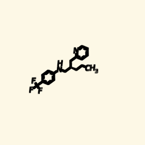 CCC[C@@H](CNc1ccc(C(F)(F)F)cc1)Cc1ccccn1